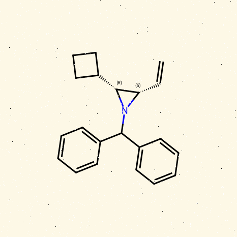 C=C[C@H]1[C@@H](C2CCC2)N1C(c1ccccc1)c1ccccc1